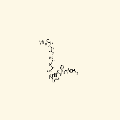 CCCCCCCCCCCC1=NCCN1CCC(=O)OCC